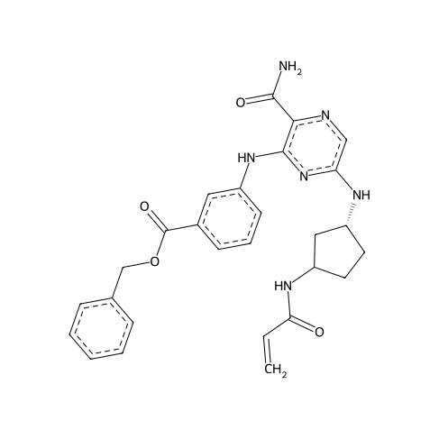 C=CC(=O)NC1CC[C@@H](Nc2cnc(C(N)=O)c(Nc3cccc(C(=O)OCc4ccccc4)c3)n2)C1